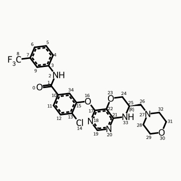 O=C(Nc1cccc(C(F)(F)F)c1)c1ccc(Cl)c(Oc2ncnc3c2OC[C@@H](CN2CCOCC2)N3)c1